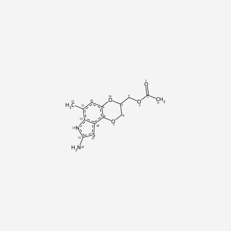 CC(=O)OCC1COc2c(cc(C)c3nc(N)sc23)O1